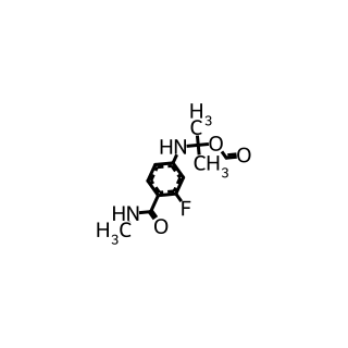 CNC(=O)c1ccc(NC(C)(C)OC=O)cc1F